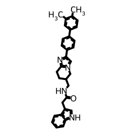 Cc1ccc(-c2ccc(-c3cn4c(n3)CCC(CNC(=O)Cc3c[nH]c5ccccc35)C4)cc2)cc1C